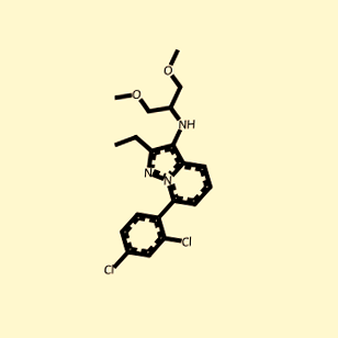 CCc1nn2c(-c3ccc(Cl)cc3Cl)cccc2c1NC(COC)COC